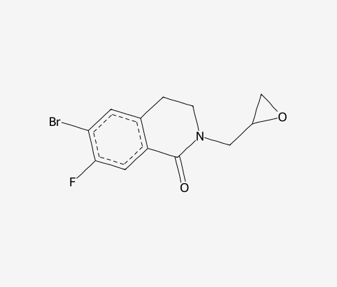 O=C1c2cc(F)c(Br)cc2CCN1CC1CO1